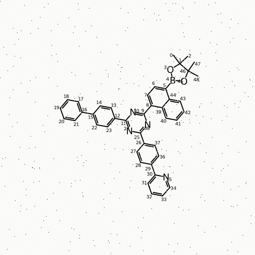 CC1(C)OB(c2ccc(-c3nc(-c4ccc(-c5ccccc5)cc4)nc(-c4ccc(-c5ccccn5)cc4)n3)c3ccccc23)OC1(C)C